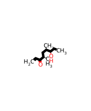 C=CC(=O)[C@@H](C)C[C@H](C)[C@@H](O)CC